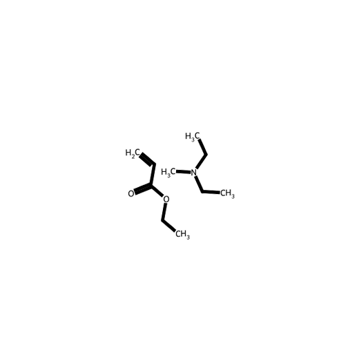 C=CC(=O)OCC.CCN(C)CC